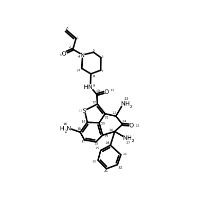 C=CC(=O)N1CCCC(NC(=O)c2sc3c(N)ccc4c3c2C(N)C(=O)C4(N)c2ccccc2)C1